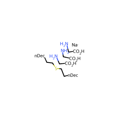 CCCCCCCCCCCCSCCCCCCCCCCCC.NCC(=O)O.NCC(=O)O.NCC(=O)O.[Na]